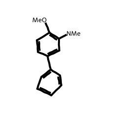 CNc1cc(-c2ccccc2)ccc1OC